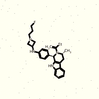 C=C(CC)N1[C@H](c2ccc(NC3CN(CCCF)C3)cc2)c2[nH]c3ccccc3c2C[C@H]1C